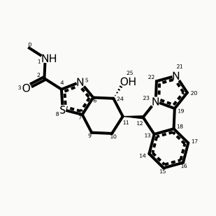 CNC(=O)c1nc2c(s1)CC[C@H](C1c3ccccc3-c3cncn31)[C@H]2O